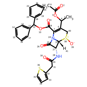 CC(=O)OC(C)C1=C(C(=O)OC(c2ccccc2)c2ccccc2)N2C(=O)[C@@H](NC(=O)Cc3cccs3)[C@H]2[S+]([O-])C1